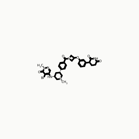 CN1C[C@H](Nc2cnn(C)c(=O)c2Br)C[C@H](c2ccc(C(=O)N3CC(Oc4cccc(C5CCC(=O)NC5=O)c4)C3)cc2)C1